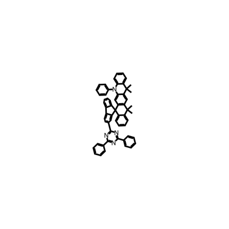 CC1(C)c2ccccc2N(c2ccccc2)c2cc3c(cc21)C(C)(C)c1ccccc1C31c2ccccc2-c2ccc(-c3nc(-c4ccccc4)nc(-c4ccccc4)n3)cc21